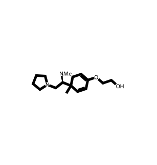 CN[C@H](CN1CCCC1)C1(C)C=CC(OCCO)=CC1